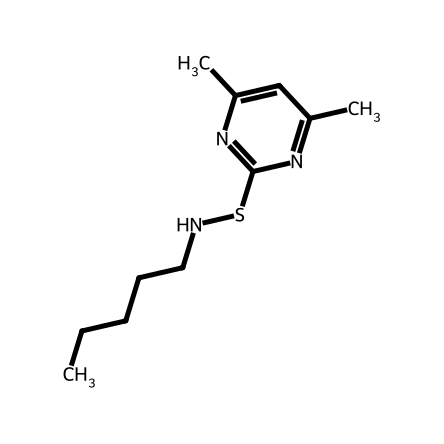 CCCCCNSc1nc(C)cc(C)n1